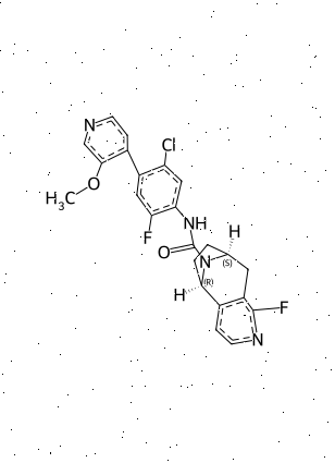 COc1cnccc1-c1cc(F)c(NC(=O)N2[C@H]3CC[C@@H]2c2ccnc(F)c2C3)cc1Cl